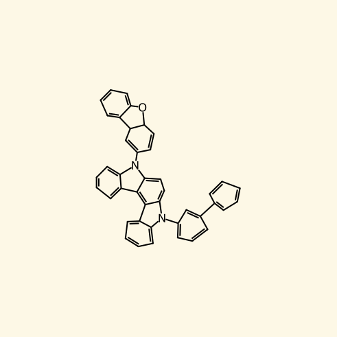 C1=CC2Oc3ccccc3C2C=C1n1c2ccccc2c2c3c4ccccc4n(-c4cccc(-c5ccccc5)c4)c3ccc21